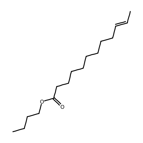 C/C=C/CCCCCCCCC(=O)OCCCC